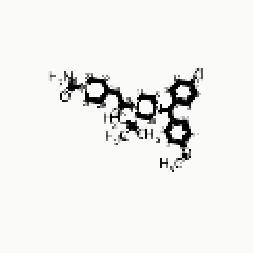 COc1ccc(C(c2ccc(Cl)cc2)N2CCN(C(=O)CC3CCN(C(N)=O)CC3)[C@@H](C(C)(C)C)C2)cc1